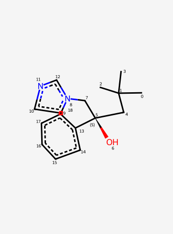 CC(C)(C)C[C@@](O)(Cn1ccnc1)c1ccccc1